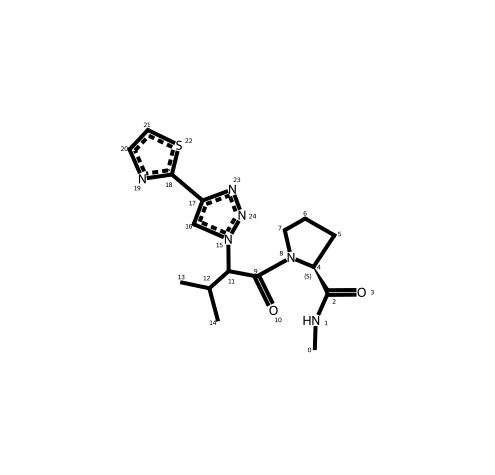 CNC(=O)[C@@H]1CCCN1C(=O)C(C(C)C)n1cc(-c2nccs2)nn1